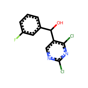 OC(c1cccc(F)c1)c1cnc(Cl)nc1Cl